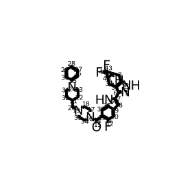 CC12Cc3[nH]nc(-c4cc5cc(F)c(C(=O)N6CCN(CC7CCN(c8ccccc8)CC7)CC6)cc5[nH]4)c3CC1C2(F)F